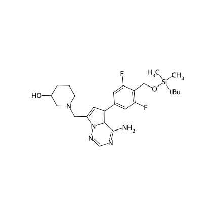 CC(C)(C)[Si](C)(C)OCc1c(F)cc(-c2cc(CN3CCCC(O)C3)n3ncnc(N)c23)cc1F